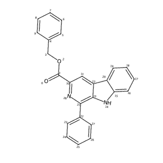 O=C(OCc1ccccc1)c1cc2c([nH]c3ccccc32)c(-c2ccccc2)n1